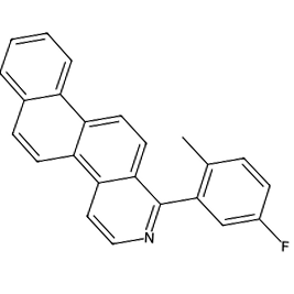 Cc1ccc(F)cc1-c1nccc2c1ccc1c3ccccc3ccc21